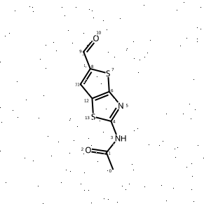 CC(=O)Nc1nc2sc(C=O)cc2s1